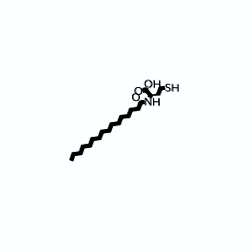 CCCCCCCCCCCCCCCC(=O)N[C@H](CCS)C(=O)O